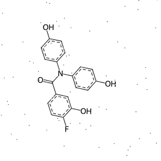 O=C(c1ccc(F)c(O)c1)N(c1ccc(O)cc1)c1ccc(O)cc1